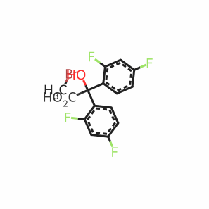 CBr.O=C(O)C(O)(c1ccc(F)cc1F)c1ccc(F)cc1F